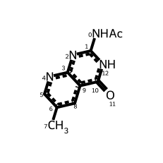 CC(=O)Nc1nc2ncc(C)cc2c(=O)[nH]1